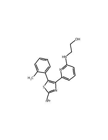 CCCc1nc(-c2cccc(NCCO)n2)c(-c2ccccc2C)s1